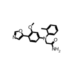 COc1cc(N(CC(N)=O)c2ccccc2C)ccc1-c1cnco1